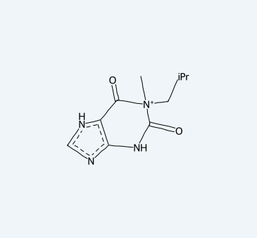 CC(C)C[N+]1(C)C(=O)Nc2nc[nH]c2C1=O